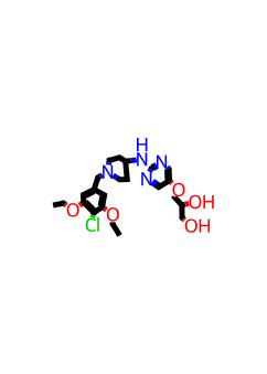 CCOc1cc(CN2CCC(Nc3ncc(OCC(O)CO)cn3)CC2)cc(OCC)c1Cl